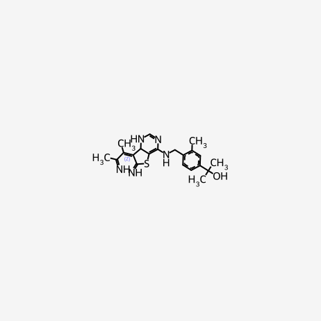 CC(=N)/C(C)=C1\C(=N)SC2=C(NCc3ccc(C(C)(C)O)cc3C)N=CNC21